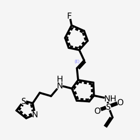 C=CS(=O)(=O)Nc1ccc(NCCc2nccs2)c(/C=C/c2ccc(F)cc2)c1